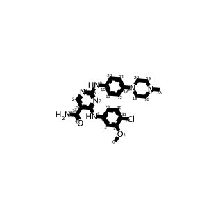 COc1cc(Nc2nc(Nc3ccc(N4CCN(C)CC4)cc3)ncc2C(N)=O)ccc1Cl